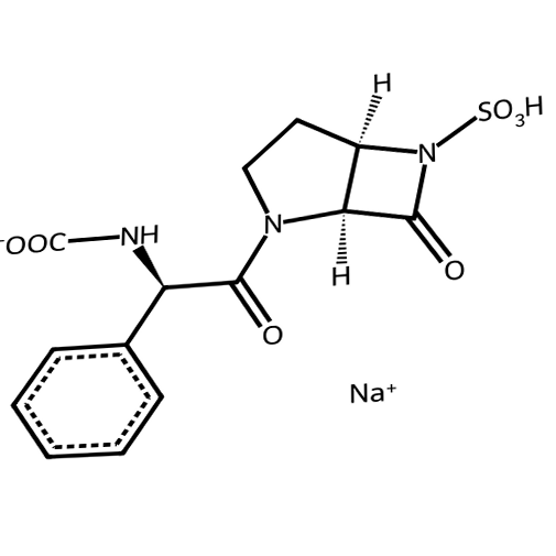 O=C([O-])N[C@@H](C(=O)N1CC[C@@H]2[C@H]1C(=O)N2S(=O)(=O)O)c1ccccc1.[Na+]